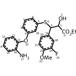 CCOC(=O)C(O)C(Sc1cccc(Oc2ccccc2N)c1)c1ccc(OC)c(F)c1